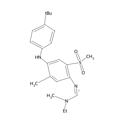 CCN(C)/C=N\c1cc(C)c(Nc2ccc(C(C)(C)C)cc2)cc1S(C)(=O)=O